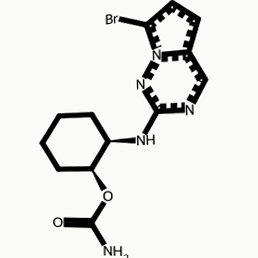 NC(=O)O[C@H]1CCCC[C@H]1Nc1ncc2ccc(Br)n2n1